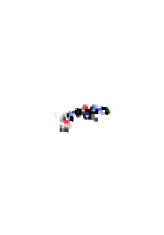 C[C@H]1CN(Cc2ccc(N(C)C(=O)c3ccc(N4CCC(F)CC4)nc3)cc2)CCN1C(=O)OC(C)(C)C